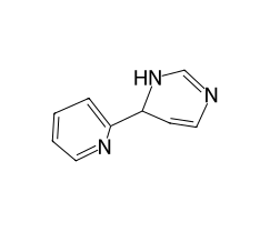 C1=CC(c2ccccn2)NC=N1